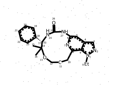 CCn1ncc2cc3nc(c21)CCCOC(C)(C)[C@H](c1ccccc1)NC(=O)N3